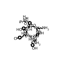 CC(C)C(N)C(=O)Nc1ccc(C[C@H]2NC(=O)[C@H](Cc3ccc(O)cc3)NC(=O)[C@H](NC(=O)CCc3ccc(Cl)cc3)CSSC[C@@H](C(=O)N[C@H](Cc3ccc(O)cc3)C(N)=O)NC(=O)C(C(C)O)NC(=O)[C@H](CCCCN)NC2=O)cc1